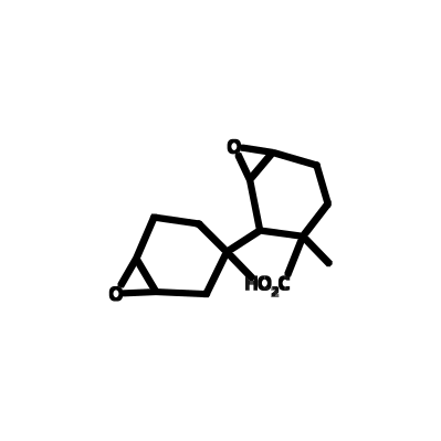 CC1(C2C3OC3CCC2(C)C(=O)O)CCC2OC2C1